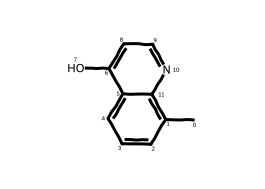 Cc1cccc2c(O)ccnc12